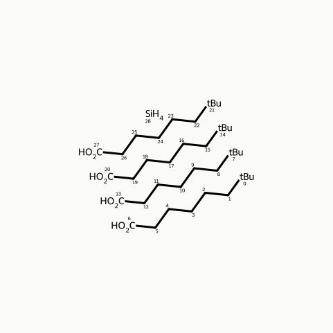 CC(C)(C)CCCCCC(=O)O.CC(C)(C)CCCCCC(=O)O.CC(C)(C)CCCCCC(=O)O.CC(C)(C)CCCCCC(=O)O.[SiH4]